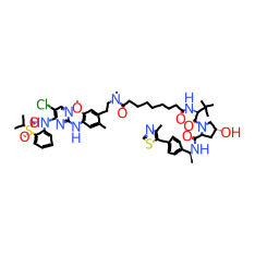 COc1cc(CCN(C)C(=O)CCCCCCCC(=O)N[C@H](C(=O)N2C[C@H](O)CC2C(=O)N[C@@H](C)c2ccc(-c3scnc3C)cc2)C(C)(C)C)c(C)cc1Nc1ncc(Cl)c(Nc2ccccc2S(=O)(=O)C(C)C)n1